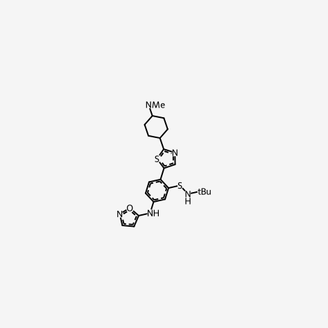 CNC1CCC(c2ncc(-c3ccc(Nc4ccno4)cc3SNC(C)(C)C)s2)CC1